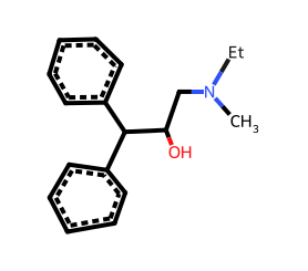 CCN(C)CC(O)C(c1ccccc1)c1ccccc1